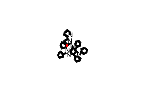 c1ccc(-c2nc3c4c5ccccc5n(-c5ccccc5)c4c4c5ccccc5n(-c5cccc(-c6ccccn6)n5)c4c3n2-c2ccccc2)cc1